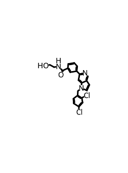 O=C(NCCO)c1cccc(-c2cc3c(ccn3Cc3ccc(Cl)cc3Cl)cn2)c1